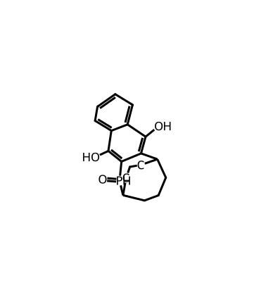 O=[PH]1c2c(c(O)c3ccccc3c2O)C2CCCC1CCC2